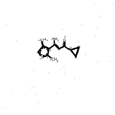 Cc1csc(C)c1C(N)=CC(=O)C1CC1